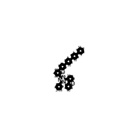 c1ccc(-c2ccc(-c3ccc(-c4ccc5c(c4)oc4c(-c6nc(-c7ccccc7)nc(-c7cccc8oc9ccccc9c78)n6)cccc45)cc3)cc2)cc1